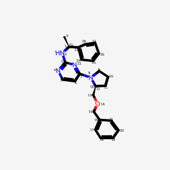 C[C@H](Nc1nccc(N2CCC[C@H]2COCc2ccccc2)n1)c1ccccc1